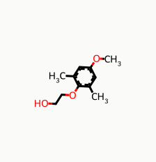 COc1cc(C)c(OCCO)c(C)c1